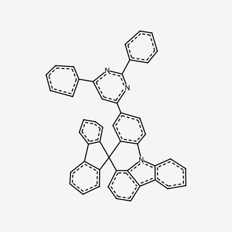 c1ccc(-c2cc(-c3ccc4c(c3)C3(c5ccccc5-c5ccccc53)c3cccc5c6ccccc6n-4c35)nc(-c3ccccc3)n2)cc1